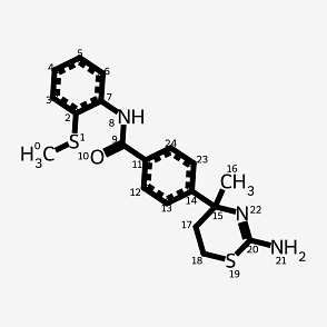 CSc1ccccc1NC(=O)c1ccc(C2(C)CCSC(N)=N2)cc1